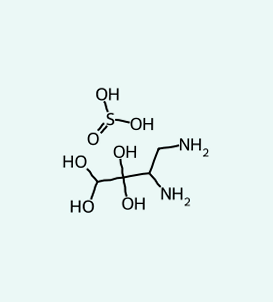 NCC(N)C(O)(O)C(O)O.O=S(O)O